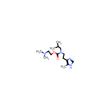 Cc1[nH]cnc1CCN(CC(C)C)C(=O)OCCN(C)C